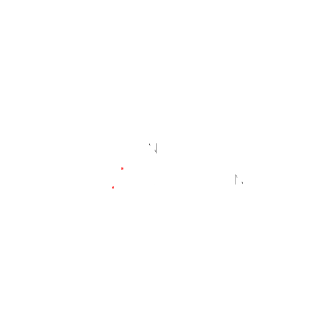 c1ccc(-c2ccc(-c3ccc(N(c4ccc(-c5ccccc5-n5c6ccccc6c6ccccc65)cc4)c4cc(-c5cc6ccccc6c6ccccc56)ccc4-c4ccccc4)cc3)cc2)cc1